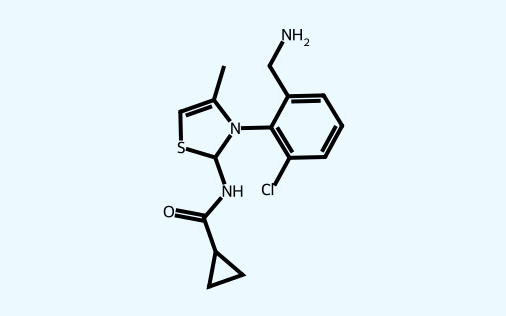 CC1=CSC(NC(=O)C2CC2)N1c1c(Cl)cccc1CN